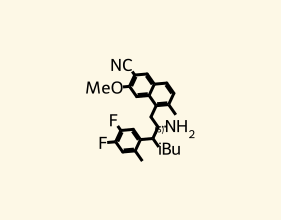 CCC(C)C(c1cc(F)c(F)cc1C)[C@@H](N)Cc1c(C)ccc2cc(C#N)c(OC)cc12